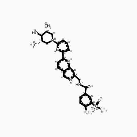 Cc1ccc(C(=O)NCc2cc3nc(-c4cccc(N5C[C@@H](C)C(O)[C@@H](C)C5)n4)ccc3cn2)cc1S(C)(=O)=O